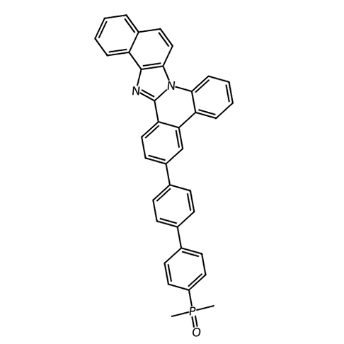 CP(C)(=O)c1ccc(-c2ccc(-c3ccc4c(c3)c3ccccc3n3c5ccc6ccccc6c5nc43)cc2)cc1